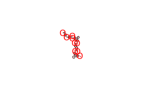 COc1ccc(C2(c3ccc(OC(=O)c4ccc5cc(C(=O)Oc6ccc(C7(c8ccc(OC(=O)c9ccc(Oc%10ccc(C(C)=O)cc%10)cc9)c(C)c8)CCCC7)cc6C)ccc5c4)c(C)c3)CCCCC2)cc1C